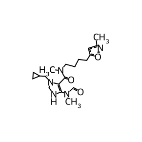 Cc1cc(CCCCN(C)C(=O)C2=C(N(C)C=O)NCN2CC2CC2)on1